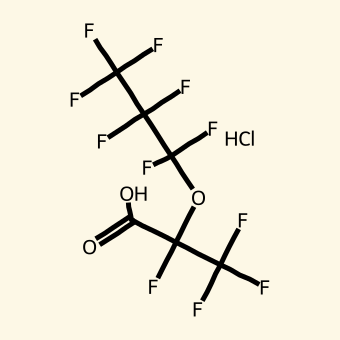 Cl.O=C(O)C(F)(OC(F)(F)C(F)(F)C(F)(F)F)C(F)(F)F